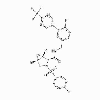 O=C(NCc1ccc(F)c(-c2cnc(C(F)(F)F)nc2)c1)[C@@H]1[C@H]2C[C@H]2CN1S(=O)(=O)c1ccc(F)cc1